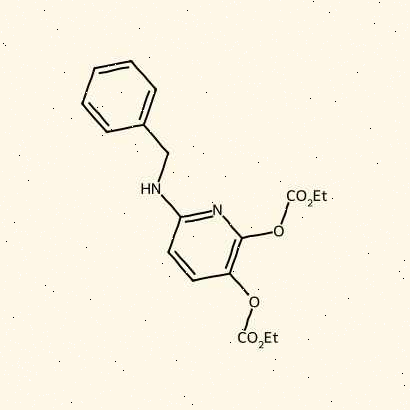 CCOC(=O)Oc1ccc(NCc2ccccc2)nc1OC(=O)OCC